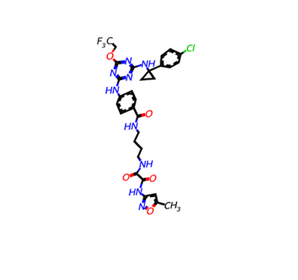 Cc1cc(NC(=O)C(=O)NCCCCNC(=O)c2ccc(Nc3nc(NC4(c5ccc(Cl)cc5)CC4)nc(OCC(F)(F)F)n3)cc2)no1